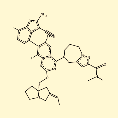 C/C=C1\CN2CCC[C@@]2(COc2nc(N3CCCn4nc(C(=O)N(C)C)cc4C3)c3cc(Cl)c(-c4ccc(F)c5sc(N)c(C#N)c45)c(F)c3n2)C1